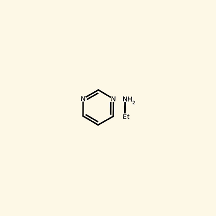 CCN.c1cncnc1